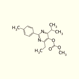 CCc1nc(-c2ccc(C)cc2)nc(C(C)C)c1OC(=O)OC